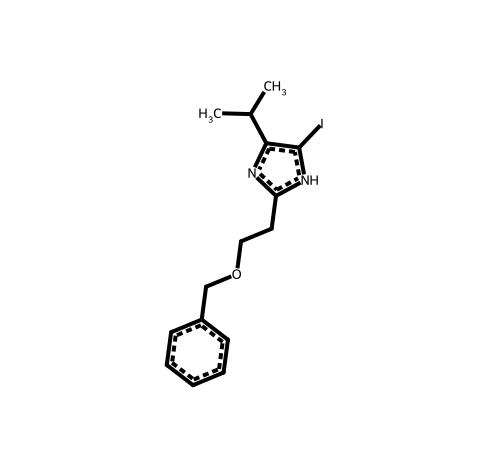 CC(C)c1nc(CCOCc2ccccc2)[nH]c1I